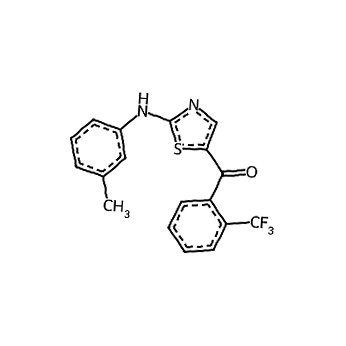 Cc1cccc(Nc2ncc(C(=O)c3ccccc3C(F)(F)F)s2)c1